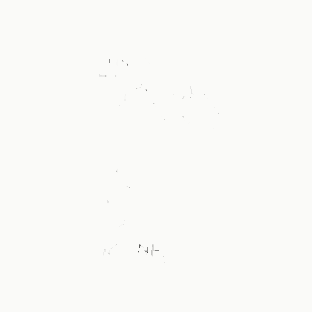 N=C(N)c1ccc(OCCCCC(Cc2cccc(F)c2)(C(=O)O)N2CCNC(=O)C2=O)cc1